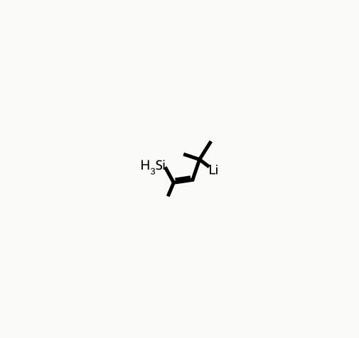 [Li][C](C)(C)C=C(C)[SiH3]